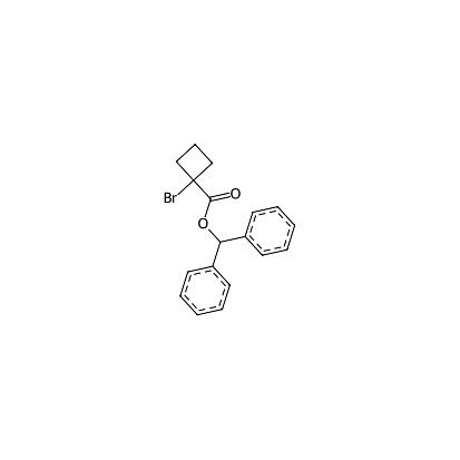 O=C(OC(c1ccccc1)c1ccccc1)C1(Br)CCC1